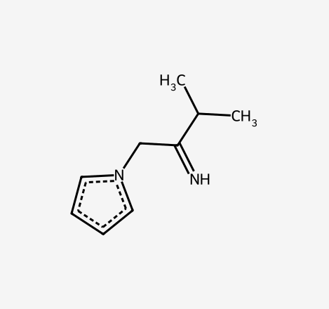 CC(C)C(=N)Cn1cccc1